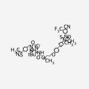 Cc1ncsc1-c1ccc(CNC(=O)[C@@H]2CCCN2C(=O)[C@@H](NC(=O)CO[C@@H](C)CCCOc2ccc(-c3ccc(N4C(=S)N(c5ccc(C#N)c(C(F)(F)F)c5)C(=O)C4(C)C)cc3)cc2)C(C)(C)C)cc1